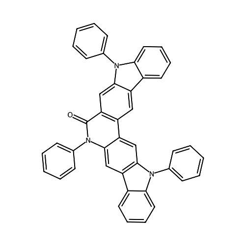 O=c1c2cc3c(cc2c2cc4c(cc2n1-c1ccccc1)c1ccccc1n4-c1ccccc1)c1ccccc1n3-c1ccccc1